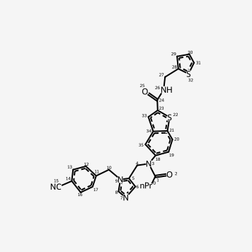 CCCC(=O)N(Cc1cncn1Cc1ccc(C#N)cc1)c1ccc2sc(C(=O)NCc3cccs3)cc2c1